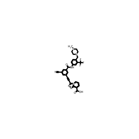 CN1CCN(Cc2ccc(NC(=O)c3cc(C#N)cc(C#Cc4nnc5c(C(=O)O)cccn45)c3)cc2C(F)(F)F)CC1